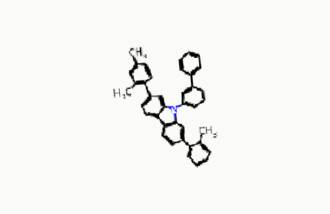 Cc1ccc(-c2ccc3c4ccc(-c5ccccc5C)cc4n(-c4cccc(-c5ccccc5)c4)c3c2)c(C)c1